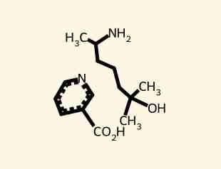 CC(N)CCCC(C)(C)O.O=C(O)c1cccnc1